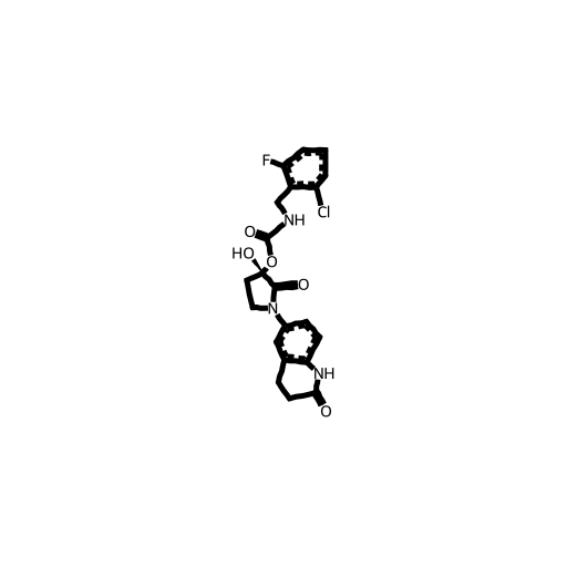 O=C1CCc2cc(N3CC[C@](O)(OC(=O)NCc4c(F)cccc4Cl)C3=O)ccc2N1